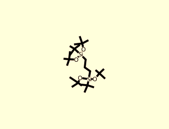 CC(C)(C)O[Si](CCC[Si](OC(C)(C)C)(OC(C)(C)C)C(C)(C)C)(OC(C)(C)C)C(C)(C)C